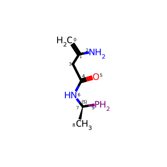 C=C(N)CC(=O)N[C@H](C)P